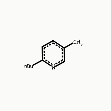 CCCCc1ccc(C)cn1